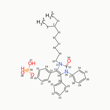 CCC(CC)CCCCCCn1c(-c2ccccc2)c(-c2ccccc2)n(-c2ccccc2)c1=O.O=[PH](O)O